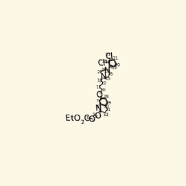 CCOC(=O)OCOC1=Nc2cc(OCCCCN3CCN(c4cccc(Cl)c4Cl)CC3)ccc2CC1